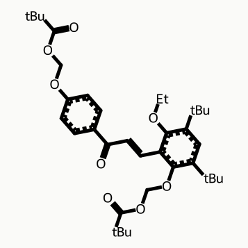 CCOc1c(C(C)(C)C)cc(C(C)(C)C)c(OCOC(=O)C(C)(C)C)c1C=CC(=O)c1ccc(OCOC(=O)C(C)(C)C)cc1